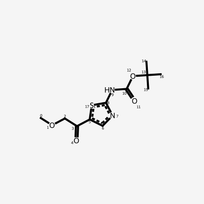 COCC(=O)c1cnc(NC(=O)OC(C)(C)C)s1